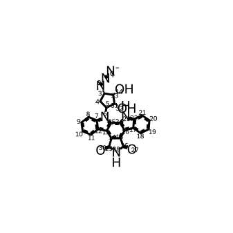 [N-]=[N+]=N[C@@H]1CC(n2c3ccccc3c3c4c(c5c6ccccc6[nH]c5c32)C(=O)NC4=O)[C@H](O)[C@@H]1O